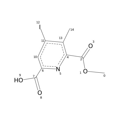 COC(=O)c1nc(C(=O)O)cc(I)c1C